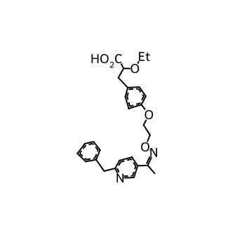 CCOC(Cc1ccc(OCCO/N=C(/C)c2ccc(Cc3ccccc3)nc2)cc1)C(=O)O